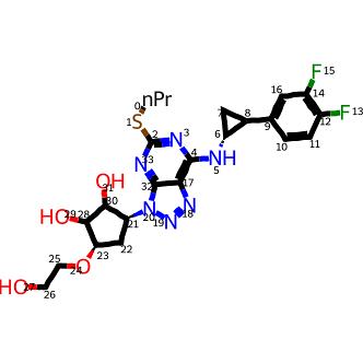 CCCSc1nc(N[C@@H]2CC2c2ccc(F)c(F)c2)c2nnn([C@H]3C[C@@H](OCCO)C(O)C3O)c2n1